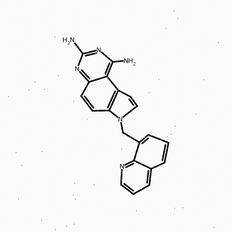 Nc1nc(N)c2c(ccc3c2ccn3Cc2cccc3cccnc23)n1